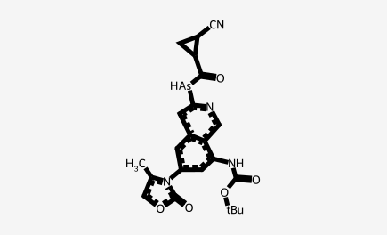 Cc1coc(=O)n1-c1cc(NC(=O)OC(C)(C)C)c2cnc([AsH]C(=O)C3CC3C#N)cc2c1